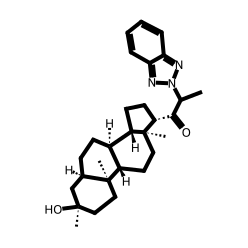 CC(C(=O)[C@H]1CC[C@H]2[C@@H]3CC[C@@H]4C[C@](C)(O)CC[C@]4(C)[C@H]3CC[C@]12C)n1nc2ccccc2n1